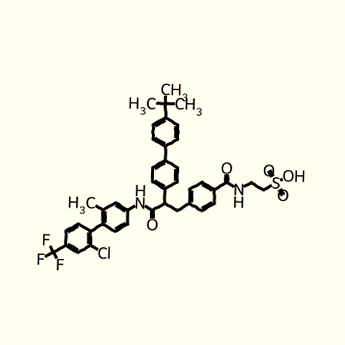 Cc1cc(NC(=O)C(Cc2ccc(C(=O)NCCS(=O)(=O)O)cc2)c2ccc(-c3ccc(C(C)(C)C)cc3)cc2)ccc1-c1ccc(C(F)(F)F)cc1Cl